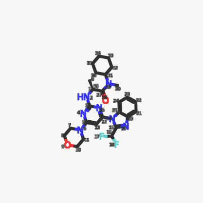 C[C@H](Nc1nc(N2CCOCC2)cc(-n2c(C(F)F)nc3ccccc32)n1)C(=O)N(C)C1CCCCC1